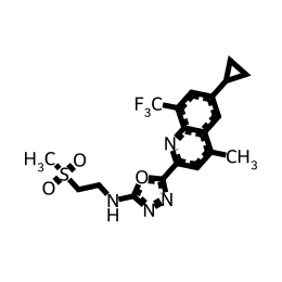 Cc1cc(-c2nnc(NCCS(C)(=O)=O)o2)nc2c(C(F)(F)F)cc(C3CC3)cc12